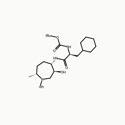 CCCN1C[C@H](O)[C@@H](NC(=O)[C@H](CC2CCCCC2)NC(=O)OC(C)(C)C)CC[C@H]1C